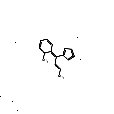 N/C=C/C(C1=CC=C=C1)=C1/C=CC=CC1N